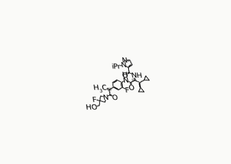 CC(C)n1nccc1C(=O)N[C@H](C(=O)Nc1ccc([C@H](C)C(=O)N2CC(F)(CO)C2)cc1F)C(=C1CC1)C1CC1